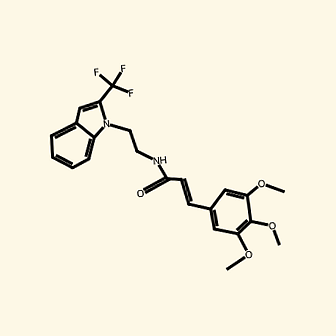 COc1cc(C=CC(=O)NCCn2c(C(F)(F)F)cc3ccccc32)cc(OC)c1OC